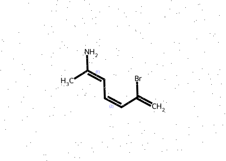 C=C(Br)/C=C\C=C(/C)N